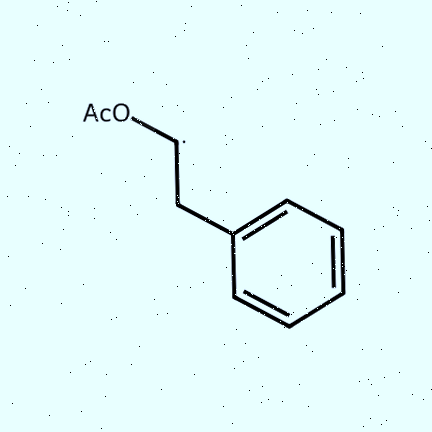 CC(=O)O[CH]Cc1ccccc1